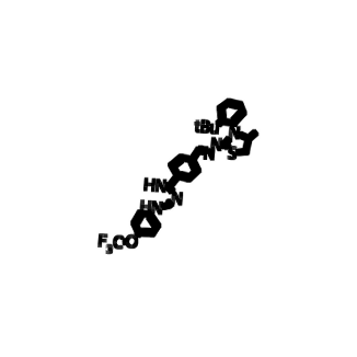 CC1CS/C(=N\N=C\c2ccc(C(=N)/N=C\Nc3ccc(OC(F)(F)F)cc3)cc2)N1c1ccccc1C(C)(C)C